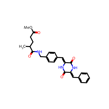 COC(=O)CCC(C)C(=O)NCc1ccc(C=c2[nH]c(=O)c(=Cc3ccccc3)[nH]c2=O)cc1